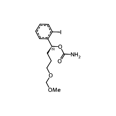 COCOCCC[C@H](OC(N)=O)c1ccccc1I